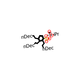 CCCCCCCCCCCCc1ccc(S(=O)(=O)[O][Ti](=[O])[O]C(C)C)c(CCCCCCCCCCCC)c1CCCCCCCCCCCC